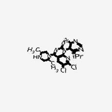 CC(C)c1ncnc(C(C)C)c1-n1c(=O)nc(N2C[C@@H](C)NC[C@@H]2C)c2cc(Cl)c(Cl)nc21